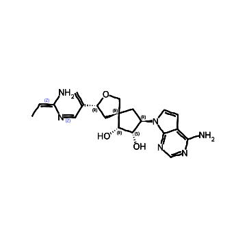 C=C(/C=N\C(N)=C/C)[C@H]1C[C@@]2(CO1)C[C@@H](n1ccc3c(N)ncnc31)[C@H](O)[C@@H]2O